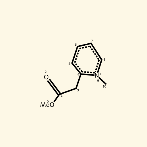 COC(=O)Cc1cccc[n+]1C